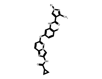 CCn1cc(C(=O)Nc2cc(Oc3ccc4nc(NC(=O)C5CC5)cn4n3)ccc2F)c(C)n1